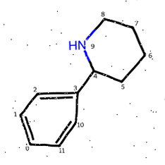 [c]1ccc(C2CCCCN2)cc1